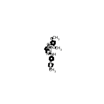 COc1ccc(OC)c(S(=O)(=O)n2ccc3cnc(Nc4ccc(N5CCN(C)CC5)cc4)nc32)c1